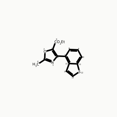 CCOC(=O)c1oc(C)nc1-c1cccc2sccc12